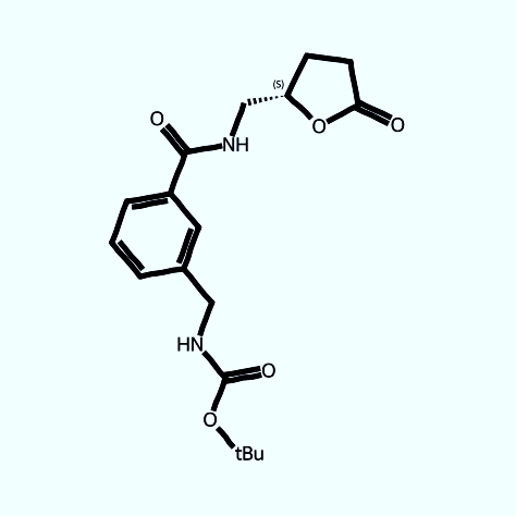 CC(C)(C)OC(=O)NCc1cccc(C(=O)NC[C@@H]2CCC(=O)O2)c1